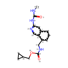 CCNC(=O)Nc1cc2cccc(CNC(=O)OCC3CC3)c2cn1